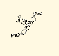 COc1ccc(CN(Cc2ccc(OC)cc2)S(=O)(=O)c2ccn(CC3(N(C)C)CC3)n2)cc1